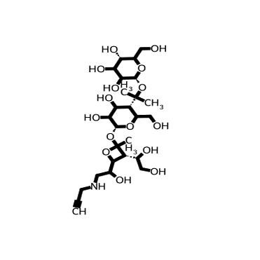 C#CCNCC(O)C1OC(C)(O[C@H]2OC(CO)[C@@H](C(C)(C)O[C@H]3OC(CO)[C@@H](O)C(O)C3O)C(O)C2O)[C@@H]1C(O)CO